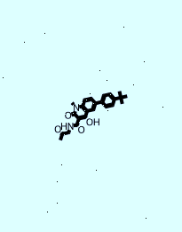 CC(=O)CNC(=O)c1c(O)c2cc(-c3ccc(C(C)(C)C)cc3)ccc2n(C)c1=O